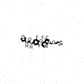 C[Si](C)(C)CCOCn1cc(C(F)(F)F)c2c(Oc3c(F)cc(NC(=O)N[C@H]4CCOC4)cc3F)ccnc21